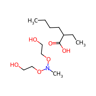 CCCCC(CC)C(=O)O.CN(OCCO)OCCO